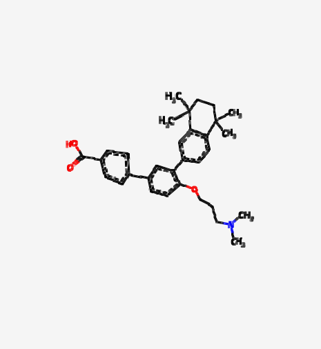 CN(C)CCCOc1ccc(-c2ccc(C(=O)O)cc2)cc1-c1ccc2c(c1)C(C)(C)CCC2(C)C